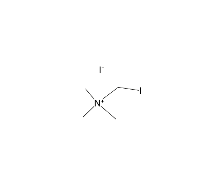 C[N+](C)(C)CI.[I-]